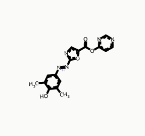 Cc1cc(/N=N/c2ncc(C(=O)Oc3ccncn3)o2)cc(C)c1O